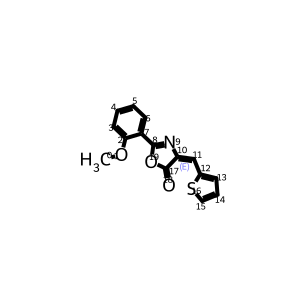 COc1ccccc1C1=N/C(=C/c2cccs2)C(=O)O1